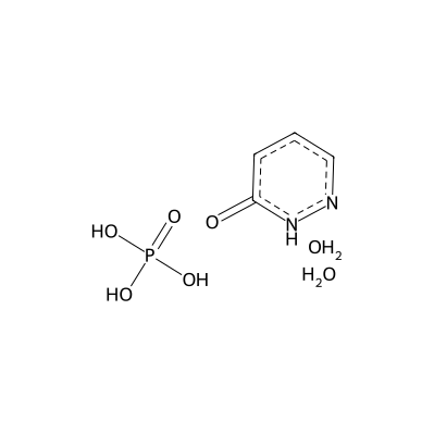 O.O.O=P(O)(O)O.O=c1cccn[nH]1